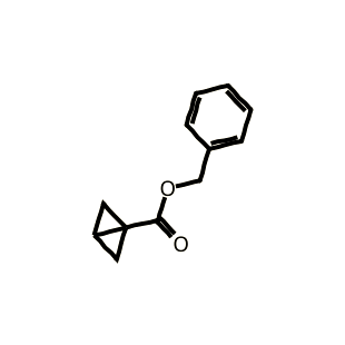 O=C(OCc1ccccc1)C12CC1C2